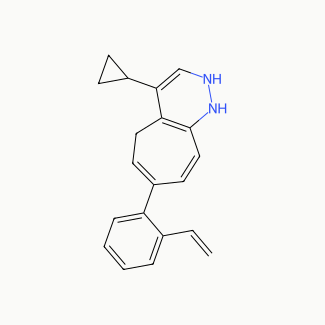 C=Cc1ccccc1C1=CCC2=C(C=C1)NNC=C2C1CC1